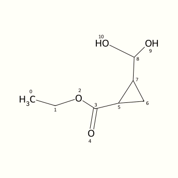 CCOC(=O)C1CC1C(O)O